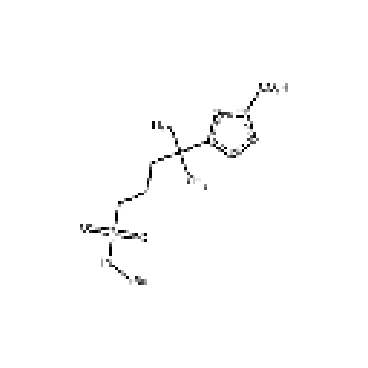 CC(C)(C)NS(=O)(=O)CCCC(C)(C)c1ccc(C(=O)O)o1